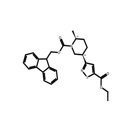 CCOC(=O)c1cc([C@@H]2CC[C@H](C)N(C(=O)OCC3c4ccccc4-c4ccccc43)C2)ns1